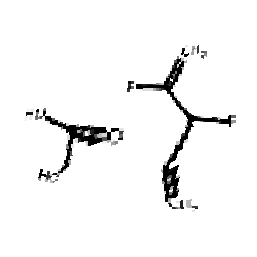 C=CC(F)C(=C)F.O=C(O)O